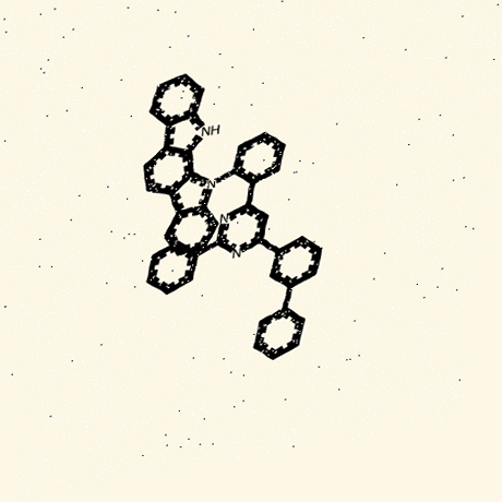 c1ccc(-c2cccc(-c3cc(-c4ccccc4-n4c5ccccc5c5ccc6c7ccccc7[nH]c6c54)nc(-c4ccccc4)n3)c2)cc1